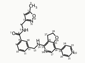 Cc1cc(CNC(=O)c2cccc(CNc3ncc(-c4ccncc4)c4c3CCO4)c2)no1